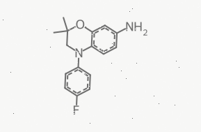 CC1(C)CN(c2ccc(F)cc2)c2ccc(N)cc2O1